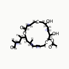 CC(=O)OC1CC/C=C/C=C(\C)CC(C(C)/C=C(\C)C=O)OC(=O)/C=C/CCCC(O)/C=C/C1O